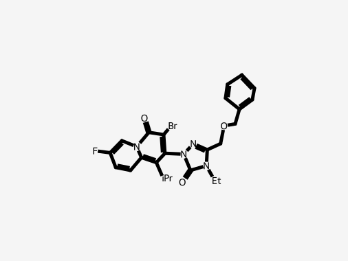 CCn1c(COCc2ccccc2)nn(-c2c(Br)c(=O)n3cc(F)ccc3c2C(C)C)c1=O